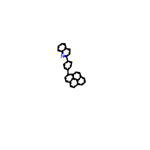 c1ccc2nc(-c3ccc(-c4ccc5ccc6cccc7ccc4c5c67)cc3)ccc2c1